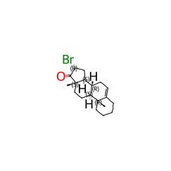 C[C@]12CCCCC1=CC[C@@H]1[C@@H]2CC[C@]2(C)C(=O)[C@H](Br)C[C@@H]12